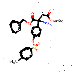 Cc1ccc(S(=O)(=O)Oc2ccc(C(N)(CC(=O)OC(C)(C)C)C(=O)OCc3ccccc3)cc2)cc1